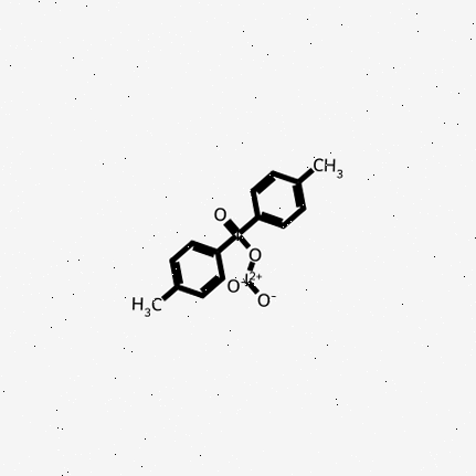 Cc1ccc(I(=O)(O[I+2]([O-])[O-])c2ccc(C)cc2)cc1